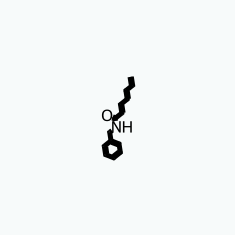 C=CC=CC=CC(=O)NCc1ccccc1